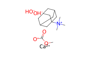 COC(=O)[O-].C[N+](C)(C)C12CC3CC(CC(C3)C1)C2.[Ca+2].[OH-].[OH-]